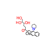 N#C/C(=C\c1ccc2ccccc2c1N1CCCCC1)C(=O)CCC(O)C(O)CO